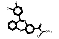 CON(C)C(=O)c1ccc2c(c1)N=C(c1ccc(Cl)c(Cl)c1)c1ccccc1S2